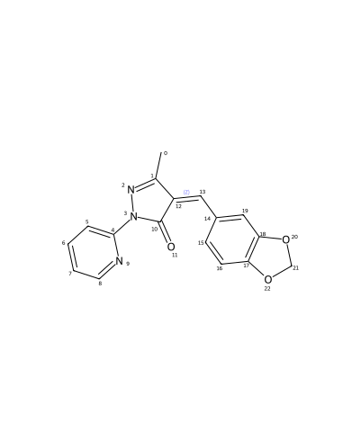 CC1=NN(c2ccccn2)C(=O)/C1=C\c1ccc2c(c1)OCO2